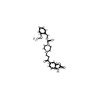 O=C(CCN1CCN(C(=O)OCc2ccccc2OC(F)(F)F)CC1)c1ccc2[nH]c(=O)oc2c1